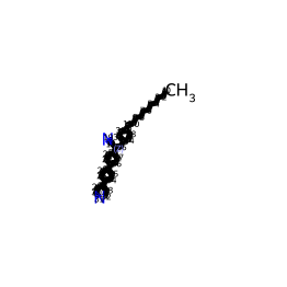 CCCCCCCCCCCCc1ccc(/C=C(\C#N)c2ccc(-c3ccc(-c4ccncc4)cc3)cc2)cc1